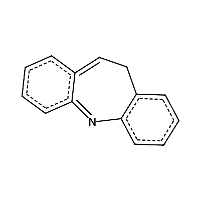 C1=c2ccccc2=Nc2ccccc2C1